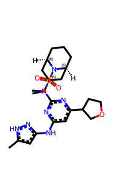 CCS(=O)(=O)N1[C@@H]2CCC[C@H]1C[C@H](N(C)c1nc(Nc3cc(C)[nH]n3)cc(C3CCOC3)n1)C2